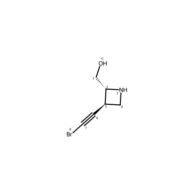 OC[C@@H]1NC[C@H]1C#CBr